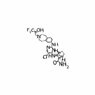 NC(=O)[C@@H]1[C@H]2CC[C@H](C2)[C@@H]1Nc1nc(Nc2ccc3c(c2)CCN(C[C@H](O)C(F)(F)F)CC3)ncc1Cl